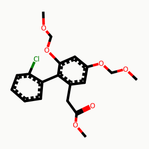 COCOc1cc(CC(=O)OC)c(-c2ccccc2Cl)c(OCOC)c1